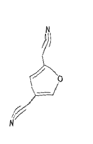 N#Cc1coc(C#N)c1